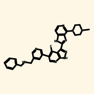 CN1CCN(c2nccc3[nH]c(-c4n[nH]c5ncc(-c6cncc(CNCc7ccccc7)c6)c(F)c45)nc23)CC1